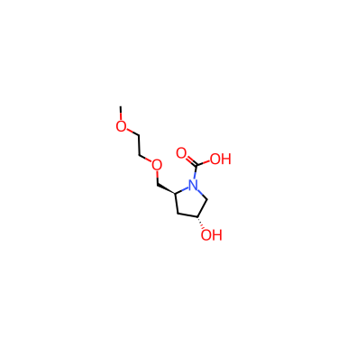 COCCOC[C@@H]1C[C@@H](O)CN1C(=O)O